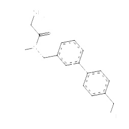 CN(Cc1cccc(-c2ccc(CO)cc2)c1)C(=O)CN